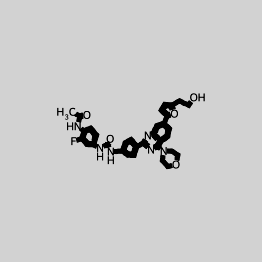 CC(=O)Nc1ccc(NC(=O)Nc2ccc(-c3nc(N4CCOCC4)c4ccc(-c5ccc(CCO)o5)cc4n3)cc2)cc1F